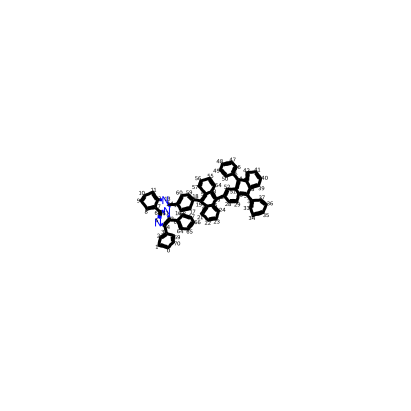 c1ccc(-c2nc3c4ccccc4nc(-c4ccc(-c5c6ccccc6c(-c6ccc7c(-c8ccccc8)c8ccccc8c(-c8ccccc8)c7c6)c6ccccc56)cc4)n3c2-c2ccccc2)cc1